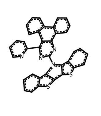 c1ccc(-c2nc(-n3c4c5ccccc5sc4c4sc5ccccc5c43)nc3c4ccccc4c4ccccc4c23)nc1